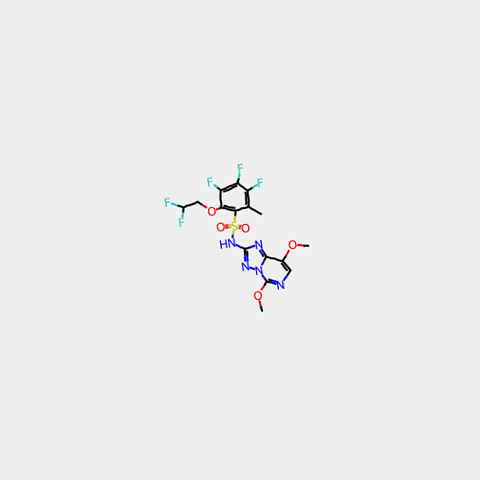 COc1cnc(OC)n2nc(NS(=O)(=O)c3c(C)c(F)c(F)c(F)c3OCC(F)F)nc12